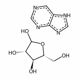 OC[C@H]1OC(O)[C@@H](O)[C@@H]1O.c1ncc2[nH]cnc2n1